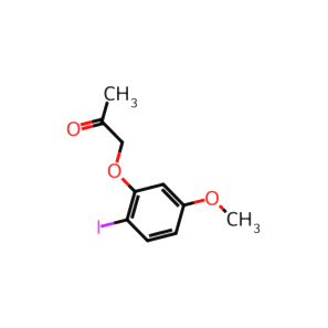 COc1ccc(I)c(OCC(C)=O)c1